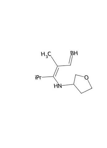 B=CC(C)=C(NC1CCOC1)C(C)C